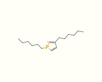 CCCCCCc1[c]p(CCCCCC)cc1